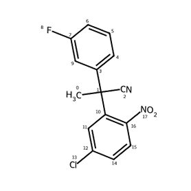 CC(C#N)(c1cccc(F)c1)c1cc(Cl)ccc1[N+](=O)[O-]